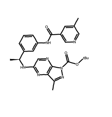 Cc1cncc(C(=O)Nc2cccc([C@H](C)Nc3cnc4c(n3)c(C)nn4C(=O)OC(C)(C)C)c2)c1